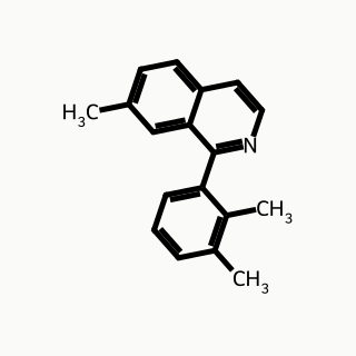 Cc1ccc2ccnc(-c3cccc(C)c3C)c2c1